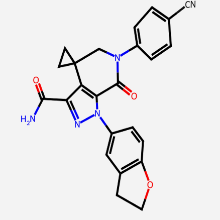 N#Cc1ccc(N2CC3(CC3)c3c(C(N)=O)nn(-c4ccc5c(c4)CCO5)c3C2=O)cc1